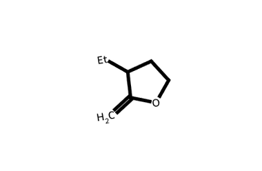 C=C1OCCC1CC